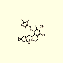 Cc1nnc(COc2c(F)cc(Cl)c3c2C(CN2CC4(CC4)CC2=O)NCC3)n1C.Cl